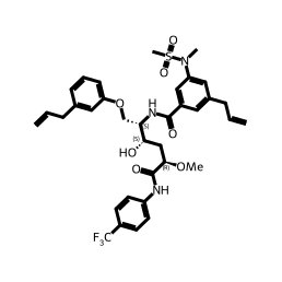 C=CCc1cccc(OC[C@H](NC(=O)c2cc(CC=C)cc(N(C)S(C)(=O)=O)c2)[C@@H](O)C[C@@H](OC)C(=O)Nc2ccc(C(F)(F)F)cc2)c1